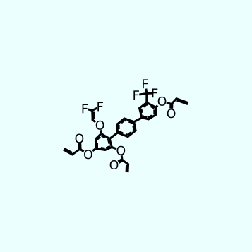 C=CC(=O)Oc1cc(OC=C(F)F)c(-c2ccc(-c3ccc(OC(=O)C=C)c(C(F)(F)F)c3)cc2)c(OC(=O)C=C)c1